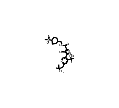 CCn1nc(C(=O)NCC2CCC(S(C)(=O)=O)CC2)c(Cl)c1-c1cnc(CC(C)(C)C(F)(F)F)cc1C(C)(F)F